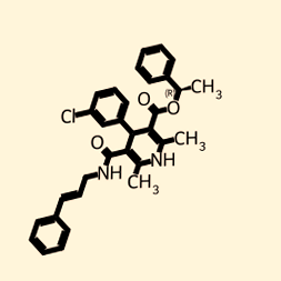 CC1=C(C(=O)NCC=Cc2ccccc2)C(c2cccc(Cl)c2)C(C(=O)O[C@H](C)c2ccccc2)=C(C)N1